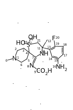 CN1CCC2(CC1)C(=NC(=O)O)NC(C)(c1cc(N)ccc1F)CS2(O)O